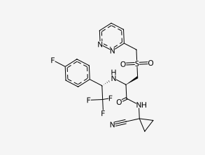 N#CC1(NC(=O)[C@H](CS(=O)(=O)Cc2cccnn2)N[C@@H](c2ccc(F)cc2)C(F)(F)F)CC1